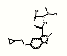 C[C@@H](O)[C@H](NC(=O)c1c2cc(OCC3CC3)ccc2nn1C)C(N)=O